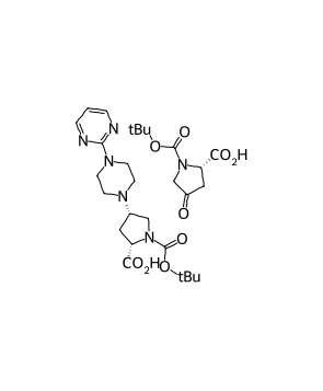 CC(C)(C)OC(=O)N1CC(=O)C[C@H]1C(=O)O.CC(C)(C)OC(=O)N1C[C@@H](N2CCN(c3ncccn3)CC2)C[C@H]1C(=O)O